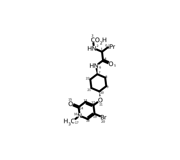 CC(C)C(NC(=O)O)C(=O)N[C@H]1CC[C@H](Oc2cc(=O)n(C)cc2Br)CC1